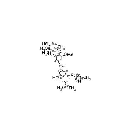 COc1cc(/C=C/c2cc(O)c(CC=C(C)C)c(OCc3cn(C)nn3)c2)cc2c1O[C@]1(C)CC[C@@H](O)C(C)(C)[C@H]1C2